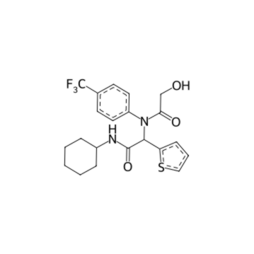 O=C(NC1CCCCC1)C(c1cccs1)N(C(=O)CO)c1ccc(C(F)(F)F)cc1